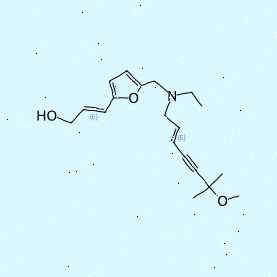 CCN(C/C=C/C#CC(C)(C)OC)Cc1ccc(/C=C/CO)o1